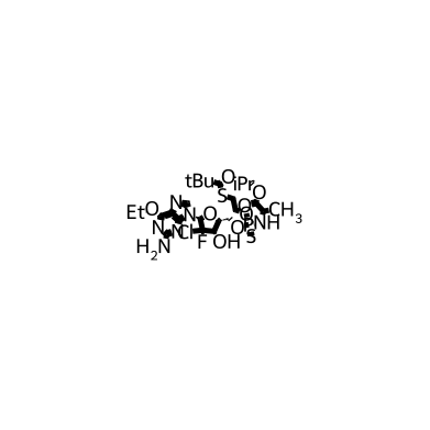 CCOc1nc(N)nc2c1ncn2[C@@H]1O[C@H](COP(=S)(NC(C)C(=O)OC(C)C)OCCSC(=O)C(C)(C)C)[C@@H](O)[C@]1(F)Cl